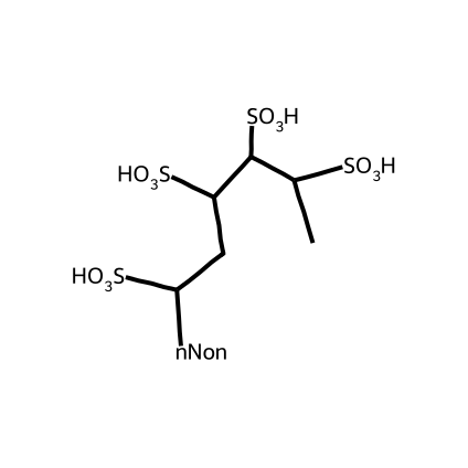 CCCCCCC[CH]CC(CC(C(C(C)S(=O)(=O)O)S(=O)(=O)O)S(=O)(=O)O)S(=O)(=O)O